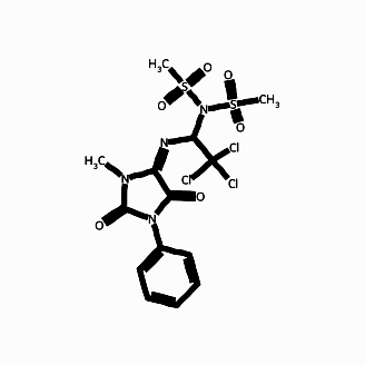 CN1C(=O)N(c2ccccc2)C(=O)C1=NC(N(S(C)(=O)=O)S(C)(=O)=O)C(Cl)(Cl)Cl